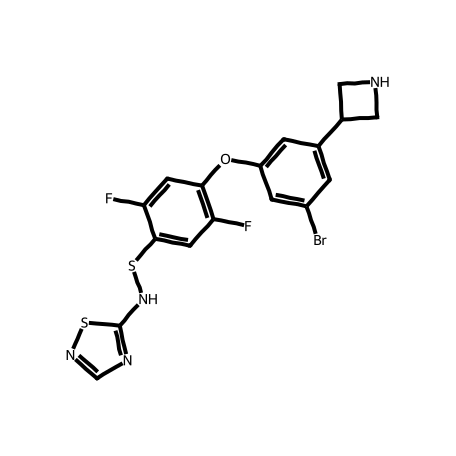 Fc1cc(SNc2ncns2)c(F)cc1Oc1cc(Br)cc(C2CNC2)c1